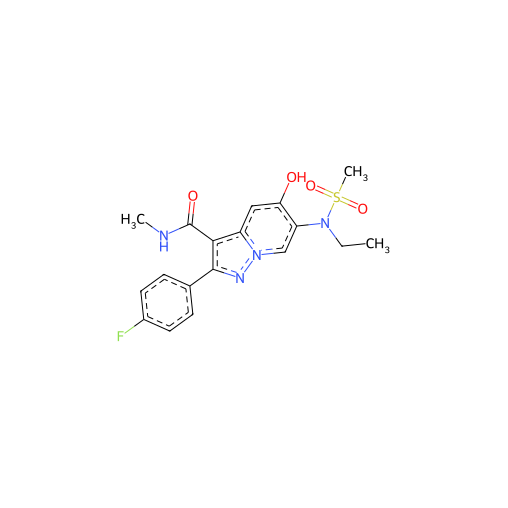 CCN(c1cn2nc(-c3ccc(F)cc3)c(C(=O)NC)c2cc1O)S(C)(=O)=O